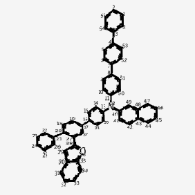 c1ccc(-c2ccc(-c3ccc(N(c4ccc(-c5ccc(-c6ccccc6)c(-c6cc7ccccc7o6)c5)cc4)c4ccc5ccccc5c4)cc3)cc2)cc1